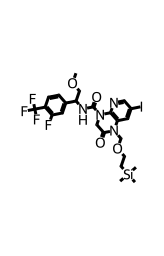 COCC(NC(=O)N1CC(=O)N(COCC[Si](C)(C)C)c2cc(I)cnc21)c1ccc(C(F)(F)F)c(F)c1